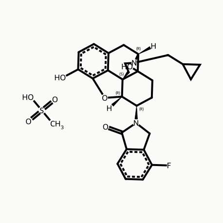 CS(=O)(=O)O.O=C1c2cccc(F)c2CN1[C@@H]1CCC2(O)[C@H]3Cc4ccc(O)c5c4[C@@]2(CCN3CC2CC2)[C@H]1O5